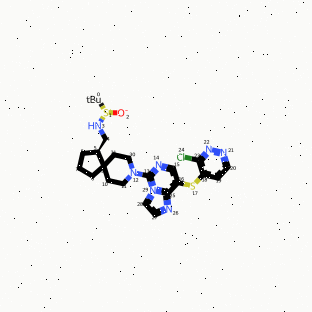 CC(C)(C)[S+]([O-])NC[C@@H]1CCCC12CCN(c1ncc(Sc3ccnnc3Cl)c3nccn13)CC2